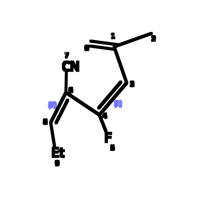 C=C(C)/C=C(F)\C(C#N)=C/CC